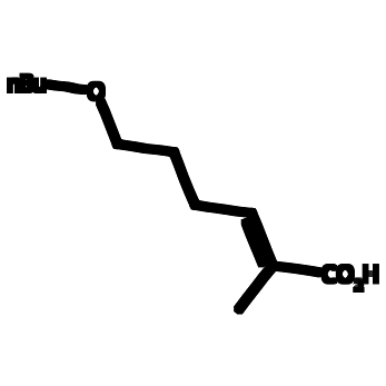 CCCCOCCCC=C(C)C(=O)O